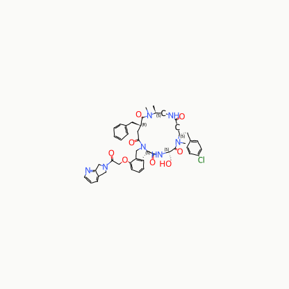 C[C@H]1CNC(=O)C[C@H](Cc2ccc(Cl)cc2)N(C)C(=O)[C@H](CO)NC(=O)[C@H](C)N(Cc2ccccc2OCC(=O)N2Cc3cccnc3C2)C(=O)C[C@@H](Cc2ccccc2)C(=O)N1C